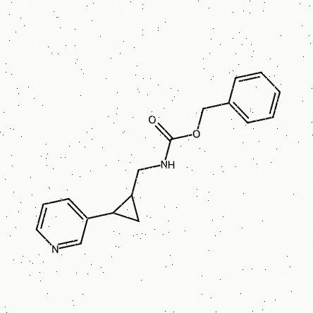 O=C(NCC1CC1c1cccnc1)OCc1ccccc1